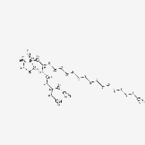 CCCCCCCCCCCCCCCCC(COCC(CO)OC)OP1(=O)NCCO1